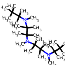 CN(C(C)(C)C(C)(C)C)C(C)(C)C(C)(C)N(C)C(C)(C)C(C)(C)N(C)C(C)(C)C(C)(C)C